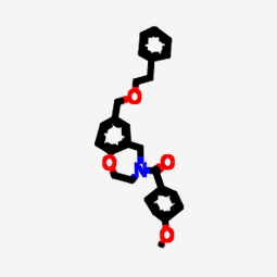 COc1ccc(C(=O)N2CCOc3ccc(COCCc4ccccc4)cc3C2)cc1